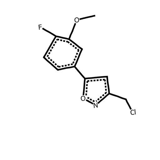 COc1cc(-c2cc(CCl)no2)ccc1F